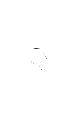 [Na+].[Na+].[S-]S[S-]